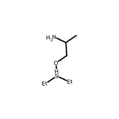 CC[SiH](CC)OCC(C)N